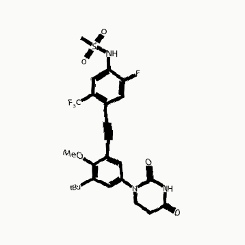 COc1c(C#Cc2cc(F)c(NS(C)(=O)=O)cc2C(F)(F)F)cc(N2CCC(=O)NC2=O)cc1C(C)(C)C